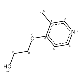 [CH2]c1cnccc1OCCO